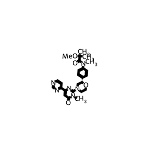 COC(C)(C)C(=O)N(C)c1ccc([C@H]2CN(c3nc(-c4ccncn4)cc(=O)n3C)CCO2)cc1